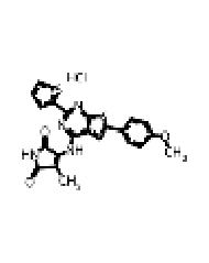 COc1ccc(-c2cc3c(NC4=C(C)C(=O)NC4=O)nc(-c4cccs4)nc3s2)cc1.Cl